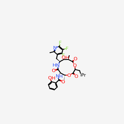 Cc1nc(F)c(F)c(F)c1C[C@@H]1NC(=O)[C@@H](NC(=O)c2ccccc2O)[C@@H](C)OC(=O)C(CC(C)C)OC(=O)[C@H](C)[C@@H]1O